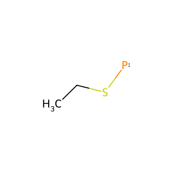 CCS[P]